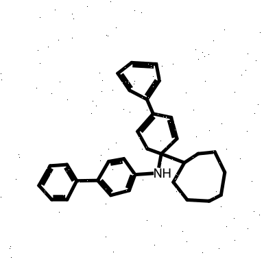 C1=CC(Nc2ccc(-c3ccccc3)cc2)(C2CCCCCCC2)CC=C1c1ccccc1